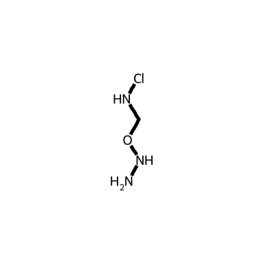 NNOCNCl